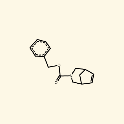 O=C(OCc1ccccc1)N1CC2C=CC(C2)C1